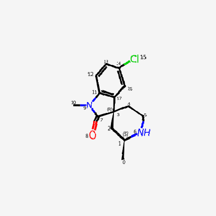 C[C@H]1C[C@@]2(CCN1)C(=O)N(C)c1ccc(Cl)cc12